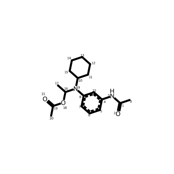 CC(=O)Nc1cccc(N(C2CCCCC2)C(C)OC(C)=O)c1